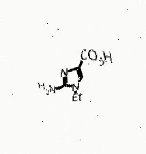 CCn1cc(C(=O)O)nc1N